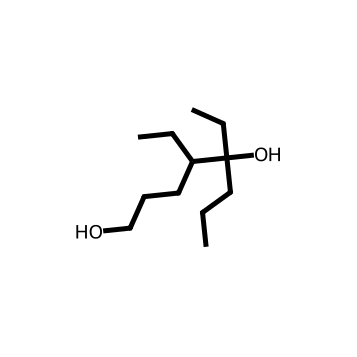 CCCC(O)(CC)C(CC)CCCO